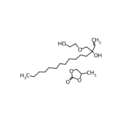 C=CC(O)(CCCCCCCCCCCC)COCCO.CC1COC(=O)O1